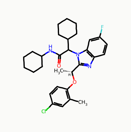 Cc1cc(Cl)ccc1O[C@H](C)c1nc2ccc(F)cc2n1C(C(=O)NC1CCCCC1)C1CCCCC1